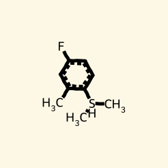 Cc1cc(F)ccc1[SH](C)C